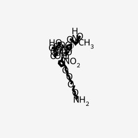 Cc1cn([C@H]2C[C@@H](OC(=O)OCc3cccc(COCCOCCOCCOCCN)c3[N+](=O)[O-])[C@@H](COP(=O)(O)OP(=O)(O)OP(=O)(O)O)O2)c(=O)[nH]c1=O